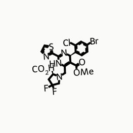 COC(=O)C1=C(CN2CC(F)(F)C[C@H]2C(=O)O)NC(c2nccs2)=N[C@H]1c1ccc(Br)cc1Cl